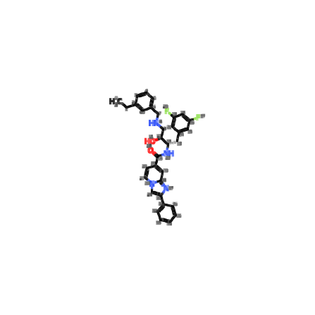 CCc1cccc(CNC[C@H](O)[C@H](Cc2cc(F)cc(F)c2)NC(=O)c2ccn3cc(-c4ccccc4)nc3c2)c1